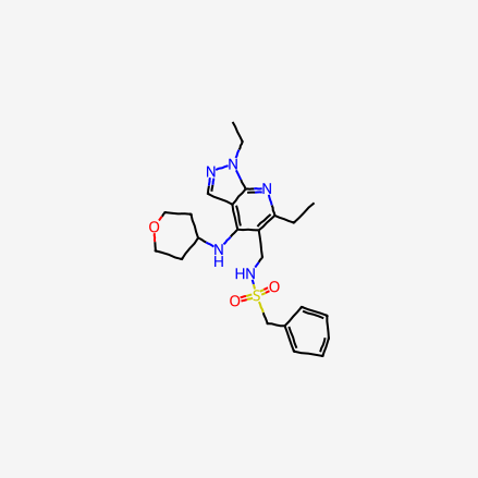 CCc1nc2c(cnn2CC)c(NC2CCOCC2)c1CNS(=O)(=O)Cc1ccccc1